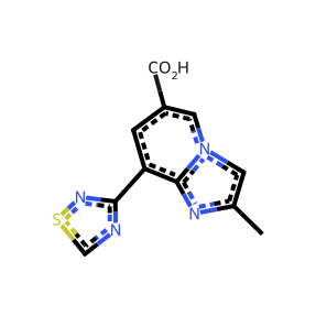 Cc1cn2cc(C(=O)O)cc(-c3ncsn3)c2n1